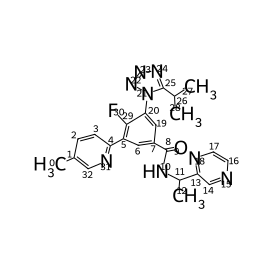 Cc1ccc(-c2cc(C(=O)NC(C)c3cnccn3)cc(-n3nnnc3C(C)C)c2F)nc1